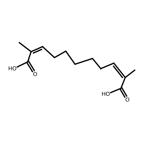 CC(=C[CH]CCCCC=C(C)C(=O)O)C(=O)O